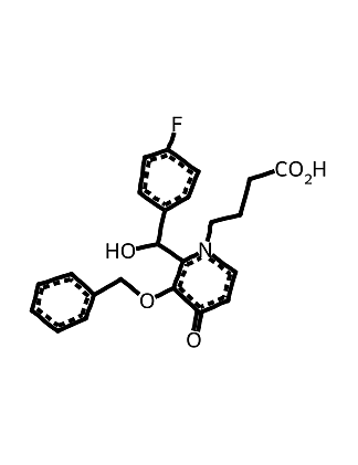 O=C(O)CCCn1ccc(=O)c(OCc2ccccc2)c1C(O)c1ccc(F)cc1